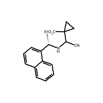 CCOC(=O)C1(C(C#N)N[C@@H](C)c2cccc3ccccc23)CC1